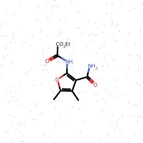 CCOC(=O)C(=O)Nc1oc(C)c(C)c1C(N)=O